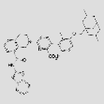 Cc1c(OCC23CC(C)CC(CC(C)C2)C3)cccc1-c1ccc(N2CCc3cccc(C(=O)Nc4nc5ccccc5s4)c3C2)nc1C(=O)O